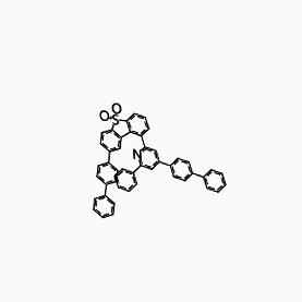 O=S1(=O)c2ccc(-c3ccc(-c4ccccc4)cc3)cc2-c2c(-c3cc(-c4ccc(-c5ccccc5)cc4)cc(-c4ccccc4)n3)cccc21